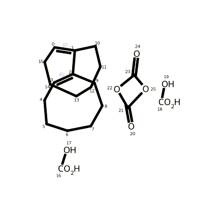 C1=C(\C2=C\CCCCCC2)CCCCCC/1.O=C(O)O.O=C(O)O.O=C1OC(=O)O1